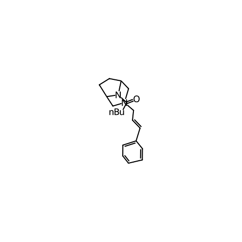 CCCCC(=O)N1C2CCC1CN(CC=Cc1ccccc1)C2